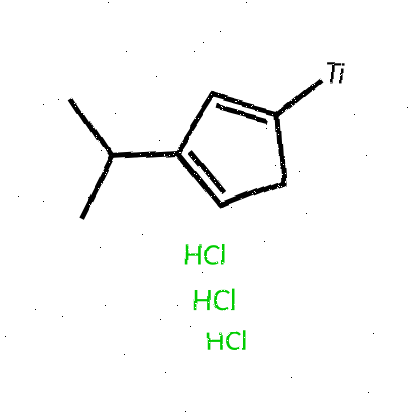 CC(C)C1=CC[C]([Ti])=C1.Cl.Cl.Cl